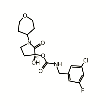 O=C(NCc1cc(F)cc(Cl)c1)O[C@]1(O)CCN(C2CCOCC2)C1=O